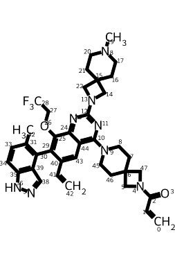 C=CC(=O)N1CC2(CCN(c3nc(N4CC5(CCN(C)CC5)C4)nc4c(OCC(F)(F)F)c(-c5c(C)ccc6[nH]ncc56)c(C=C)cc34)CC2)C1